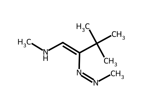 C/N=N\C(=C/NC)C(C)(C)C